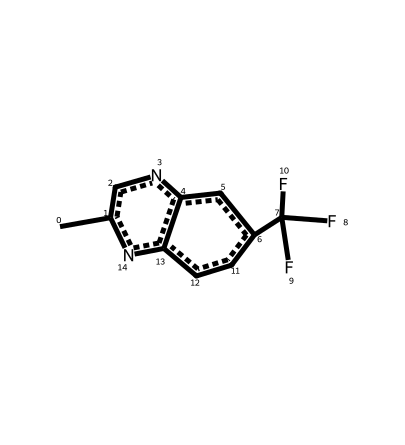 Cc1cnc2cc(C(F)(F)F)ccc2n1